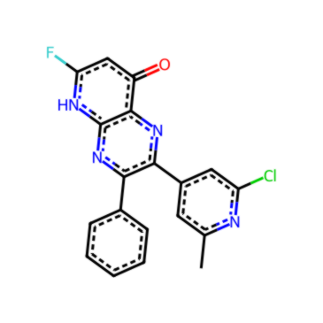 Cc1cc(-c2nc3c(=O)cc(F)[nH]c3nc2-c2ccccc2)cc(Cl)n1